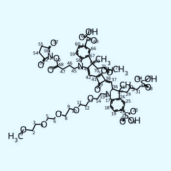 COCCOCCOCCOCCOCCN1c2ccc(S(=O)(=O)O)cc2C(C)(CCCS(=O)(=O)O)C1/C=C1\C(=O)C(/C=C2/N(CCCC(=O)ON3C(=O)CCC3=O)c3ccc(S(=O)(=O)O)cc3C2(C)CCOC)=C1O